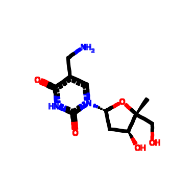 C[C@]1(CO)O[C@@H](n2cc(CN)c(=O)[nH]c2=O)C[C@@H]1O